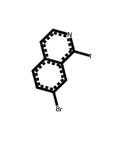 Brc1ccc2ccnc(I)c2c1